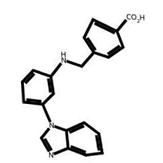 O=C(O)c1ccc(CNc2cccc(-n3cnc4ccccc43)c2)cc1